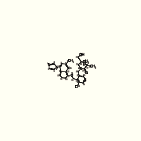 Cc1cc(-n2ccnc2)c2cccc(OCc3c(Cl)cncc3CN(CC(O)CO)C(=O)C(C)C)c2n1